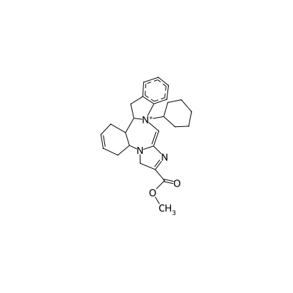 COC(=O)C1=NC2=C[N+]3(C4CCCCC4)c4ccccc4CC3C3CC=CCC3N2C1